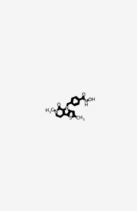 Cc1cc2c(s1)c1c(n2Cc2ccc(C(=O)NO)cc2)C(=O)N(C)CC1